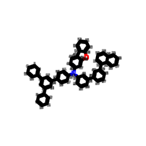 c1ccc(-c2cc(-c3ccccc3)cc(-c3ccc(N(c4cccc(-c5cccc(-c6cccc7ccccc67)c5)c4)c4ccc5c(c4)oc4ccccc45)cc3)c2)cc1